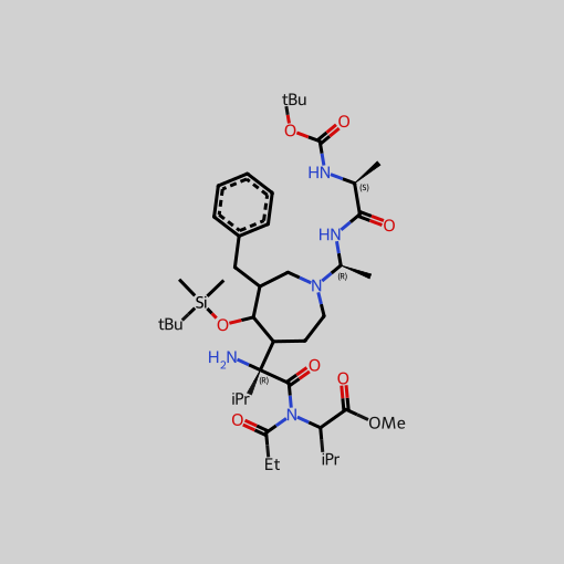 CCC(=O)N(C(=O)[C@@](N)(C(C)C)C1CCN([C@H](C)NC(=O)[C@H](C)NC(=O)OC(C)(C)C)CC(Cc2ccccc2)C1O[Si](C)(C)C(C)(C)C)C(C(=O)OC)C(C)C